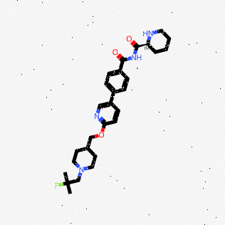 CC(C)(F)CN1CCC(COc2ccc(-c3ccc(C(=O)NC(=O)[C@@H]4CCCCN4)cc3)cn2)CC1